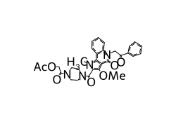 COc1c(C(=O)N2CCN(C(=O)COC(C)=O)CC2)n(C)c2c1c(=O)n(CC(=O)c1ccccc1)c1ccccc21